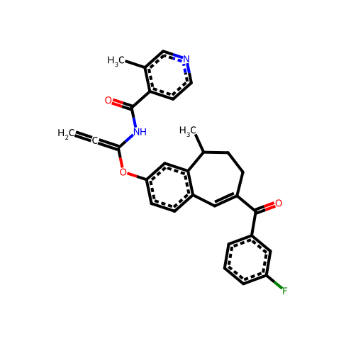 C=C=C(NC(=O)c1ccncc1C)Oc1ccc2c(c1)C(C)CCC(C(=O)c1cccc(F)c1)=C2